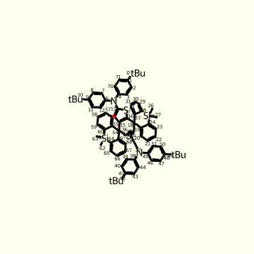 CC(C)(C)c1ccc(N(c2ccc(C(C)(C)C)cc2)c2cc3c(s2)C2(c4ccccc4[Si](C)(C)c4ccccc42)c2cc(N(c4ccc(C(C)(C)C)cc4)c4ccc(C(C)(C)C)cc4)sc2C32c3ccccc3[Si](C)(C)c3ccccc32)cc1